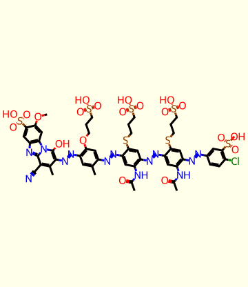 COc1cc2c(cc1S(=O)(=O)O)nc1c(C#N)c(C)c(N=Nc3cc(C)c(N=Nc4cc(NC(C)=O)c(N=Nc5cc(NC(C)=O)c(N=Nc6ccc(Cl)c(S(=O)(=O)O)c6)cc5SCCCS(=O)(=O)O)cc4SCCCS(=O)(=O)O)cc3OCCCS(=O)(=O)O)c(O)n12